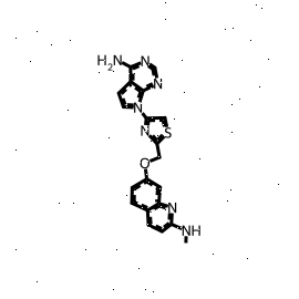 CNc1ccc2ccc(OCc3nc(-n4ccc5c(N)ncnc54)cs3)cc2n1